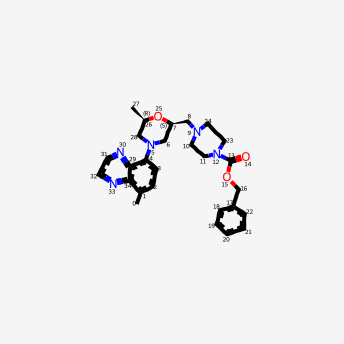 Cc1ccc(N2C[C@H](CN3CCN(C(=O)OCc4ccccc4)CC3)O[C@H](C)C2)c2nccnc12